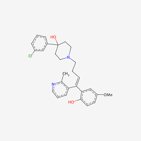 COc1ccc(O)c(/C(=C/CCN2CCC(O)(c3cccc(Cl)c3)CC2)c2cccnc2C)c1